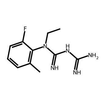 CCN(C(=N)NC(=N)N)c1c(C)cccc1F